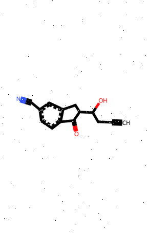 C#CCC(O)C1Cc2cc(C#N)ccc2C1=O